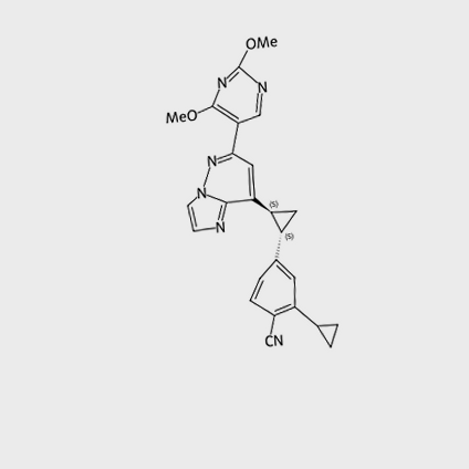 COc1ncc(-c2cc([C@H]3C[C@@H]3c3ccc(C#N)c(C4CC4)c3)c3nccn3n2)c(OC)n1